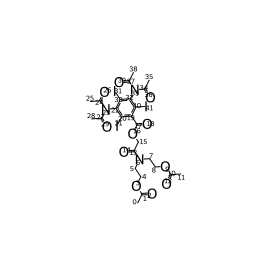 CC(=O)OCCN(CCOC(C)=O)C(=O)COC(=O)c1c(I)c(N(C(C)=O)C(C)=O)c(I)c(N(C(C)=O)C(C)=O)c1I